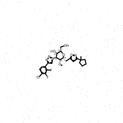 CO[C@@H]1[C@@H](n2cc(-c3ccc(Cl)c(F)c3F)nn2)[C@@H](O)[C@@H](CO)O[C@@H]1Cc1cc(C2(C)CCCC2)no1